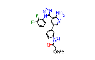 COCC(=O)Nc1cccc(-c2cnc(N)c(-c3nnnn3-c3cccc(F)c3F)c2)c1